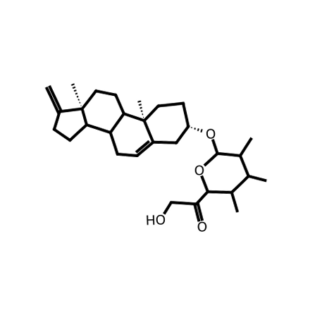 C=C1CCC2C3CC=C4C[C@@H](OC5OC(C(=O)CO)C(C)C(C)C5C)CC[C@]4(C)C3CC[C@]12C